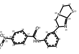 O=C(Nc1cccc(C2CN3CCSC3=N2)c1)c1ccc([N+](=O)[O-])cc1